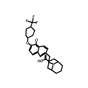 O=C(O)C1CC2CCCC(C1)N2CCc1ccc2c(Cl)c(OC3CCC(C(F)(F)F)CC3)ccc2c1